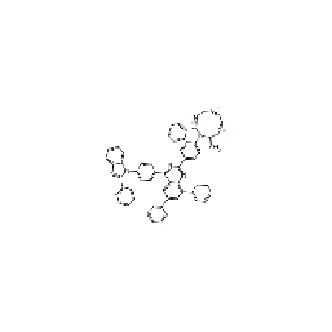 C=C1/C=C\C=C/C/N=C(/c2ccccc2)N1c1ccc(-c2nc(-c3ccc(-n4c(-c5ccccc5)nc5ccccc54)cc3)c3cc(-c4ccccc4)cc(-c4ccccc4)c3n2)cc1